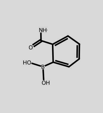 [NH]C(=O)c1ccccc1B(O)O